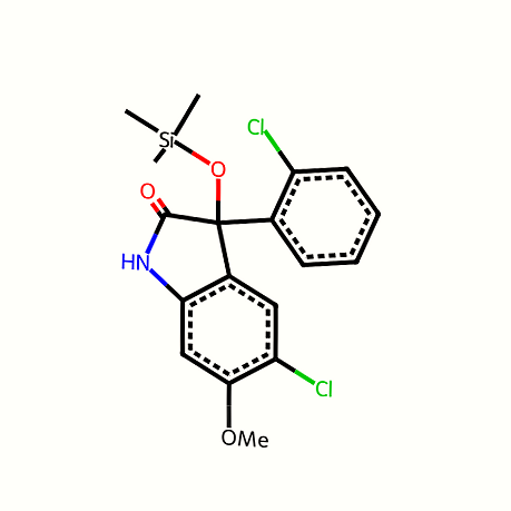 COc1cc2c(cc1Cl)C(O[Si](C)(C)C)(c1ccccc1Cl)C(=O)N2